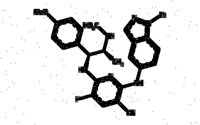 CCn1ncc2cc(Nc3nc(N[C@@H](c4ccc(OC)cc4)[C@H](C)NC(=O)O)c(F)cc3C#N)ccc21